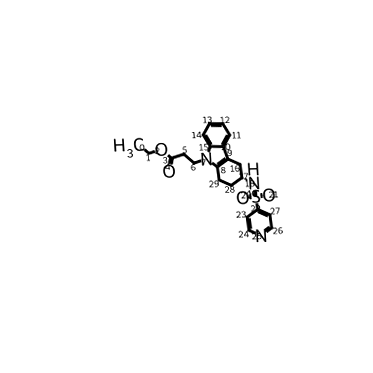 CCOC(=O)CCn1c2c(c3ccccc31)C[C@H](NS(=O)(=O)c1ccncc1)CC2